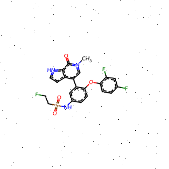 Cn1cc(-c2cc(NS(=O)(=O)CCF)ccc2Oc2ccc(F)cc2F)c2cc[nH]c2c1=O